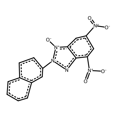 O=[N+]([O-])c1cc([N+](=O)[O-])c2nn(-c3ccc4ccccc4c3)[n+]([O-])c2c1